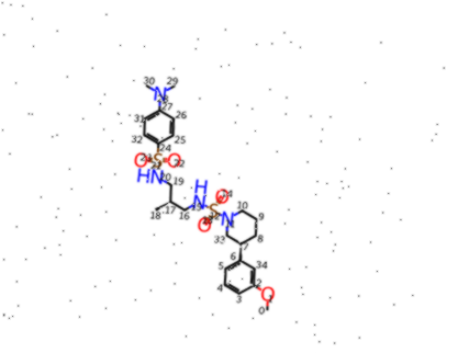 COc1cccc([C@@H]2CCCN(S(=O)(=O)NC[C@@H](C)CNS(=O)(=O)c3ccc(N(C)C)cc3)C2)c1